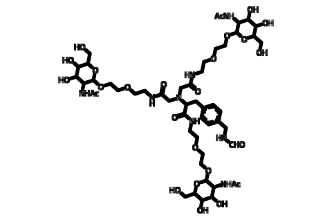 CC(=O)NC1C(OCCOCCNC(=O)CN(CC(=O)NCCOCCOC2OC(CO)C(O)C(O)C2NC(C)=O)C(Cc2ccc(CNC=O)cc2)C(=O)NCCOCCOC2OC(CO)C(O)C(O)C2NC(C)=O)OC(CO)C(O)C1O